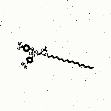 CCCCCCCCCCCCCCCCCCOC[C@H](COP(=O)(Oc1ccc([N+](=O)[O-])cc1)Oc1ccc([N+](=O)[O-])cc1)OC(C)C